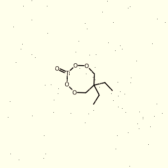 CCC1(CC)CO[O][Ti](=[O])[O]OC1